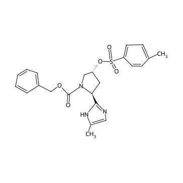 Cc1ccc(S(=O)(=O)O[C@@H]2C[C@@H](c3ncc(C)[nH]3)N(C(=O)OCc3ccccc3)C2)cc1